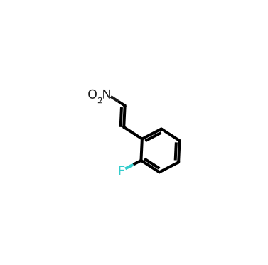 O=[N+]([O-])C=Cc1ccccc1F